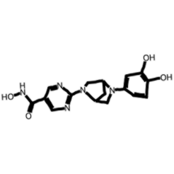 O=C(NO)c1cnc(N2CC3CC2CN3c2ccc(O)c(O)c2)nc1